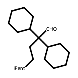 CCCC(C)CCC(C=O)(C1CCCCC1)C1CCCCC1